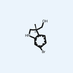 C[C@]1(CO)CNc2cc(Br)ccc21